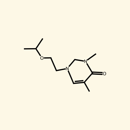 CC1=CN(CCOC(C)C)CN(C)C1=O